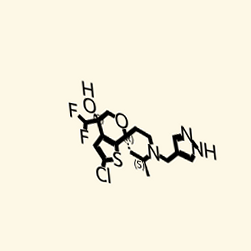 C[C@H]1C[C@@]2(CCN1Cc1cn[nH]c1)OC[C@](O)(C(F)F)c1cc(Cl)sc12